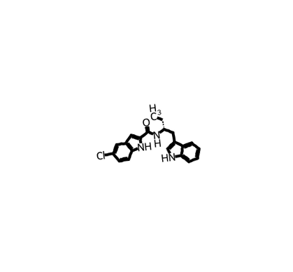 CC[C@H](Cc1c[nH]c2ccccc12)NC(=O)c1cc2cc(Cl)ccc2[nH]1